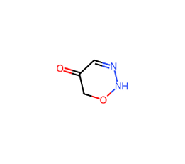 O=C1C=NNOC1